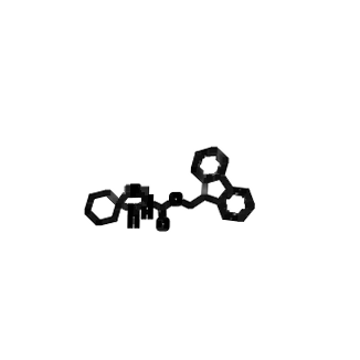 CC(C)(C)C1(NNC(=O)OCC2c3ccccc3-c3ccccc32)CCCCC1